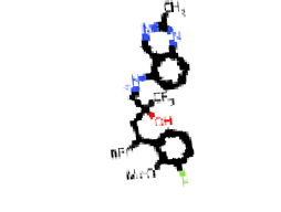 CCCC(CC(O)(/C=N\c1cccc2nc(C)ncc12)C(F)(F)F)c1cccc(F)c1OC